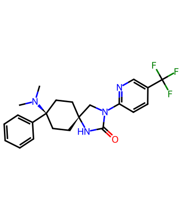 CN(C)[C@]1(c2ccccc2)CC[C@@]2(CC1)CN(c1ccc(C(F)(F)F)cn1)C(=O)N2